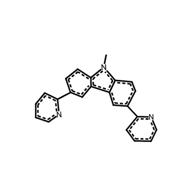 Cn1c2ccc(-c3ccccn3)cc2c2cc(-c3ccccn3)ccc21